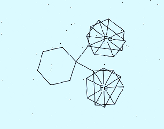 C1CCC([C]23[CH]4[CH]5[CH]6[CH]2[Fe]56432789[CH]3[CH]2[CH]7[CH]8[CH]39)([C]23[CH]4[CH]5[CH]6[CH]2[Fe]56432789[CH]3[CH]2[CH]7[CH]8[CH]39)CC1